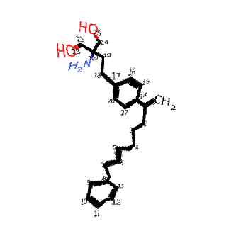 C=C(CCCCCCc1ccccc1)c1ccc(CCC(N)(CO)CO)cc1